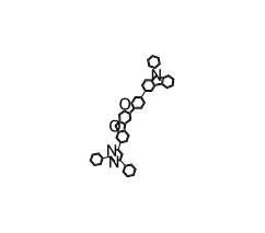 c1ccc(-c2cc(-c3ccc4c(c3)oc3cc5oc6cc(-c7ccc8c(c7)c7ccccc7n8-c7ccccc7)ccc6c5cc34)nc(-c3ccccc3)n2)cc1